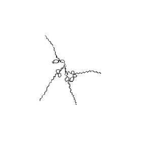 CCCCCCCCCCCCCCCCC(=O)OCCN(CCOC(=O)CCCCCCCCCCCCCCCC)CCN(CCOC(=O)CCCCCCCCCCCCCCCC)CCOC(=O)CCCCCCCCCCCCCCCC